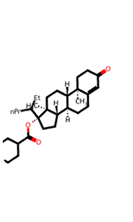 CCCC(CC)[C@]1(OC(=O)C2CCCCC2)CC[C@H]2[C@@H]3CCC4=CC(=O)CC[C@]4(C)[C@H]3CC[C@@]21C